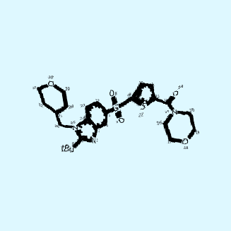 CC(C)(C)c1nc2cc(S(=O)(=O)c3ccc(C(=O)N4CCOCC4)s3)ccc2n1CC1CCOCC1